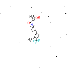 Cc1cc(CC2CCC3(C2)CN(C(=O)[C@H]2C[C@@](C)(O)C2)C3)ccc1C(F)(F)F